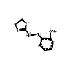 COc1ccccc1NNC1=NCCS1